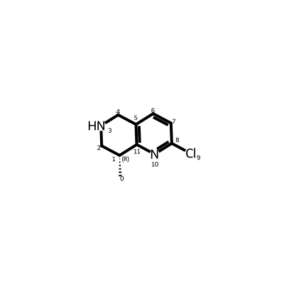 C[C@@H]1CNCc2ccc(Cl)nc21